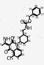 C/C(N)=C1\C(=O)c2c(Cl)cccc2N(C2CCCC(CNC(=O)OCc3ccccc3)C2)C1=O